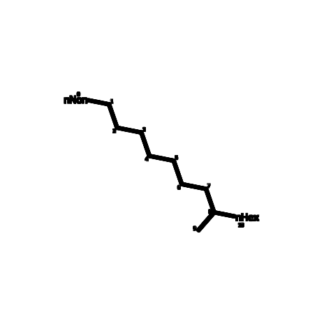 CCCCCCCCCCCCCCCCC(C)CCCCCC